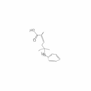 CC(=CCC(C)(C)Nc1ccccc1)C(=O)O